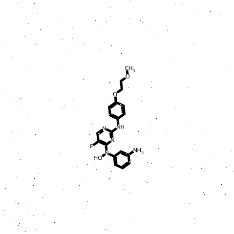 COCCOc1ccc(Nc2ncc(F)c(N(O)c3cccc(N)c3)n2)cc1